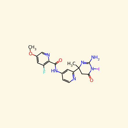 COc1cnc(C(=O)Nc2ccnc(C3(C)CC(=O)N(I)C(N)=N3)c2)c(F)c1